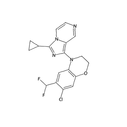 FC(F)c1cc2c(cc1Cl)OCCN2c1nc(C2CC2)n2ccncc12